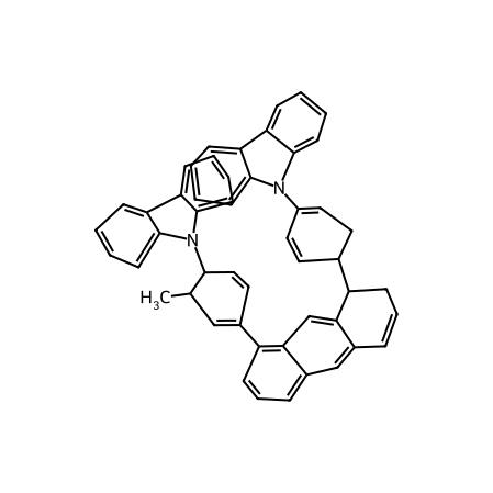 CC1C=C(c2cccc3cc4c(cc23)C(C2C=CC(n3c5ccccc5c5ccccc53)=CC2)CC=C4)C=CC1n1c2ccccc2c2ccccc21